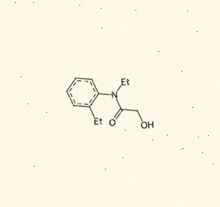 CCc1ccccc1N(CC)C(=O)CO